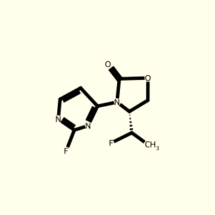 CC(F)[C@H]1COC(=O)N1c1ccnc(F)n1